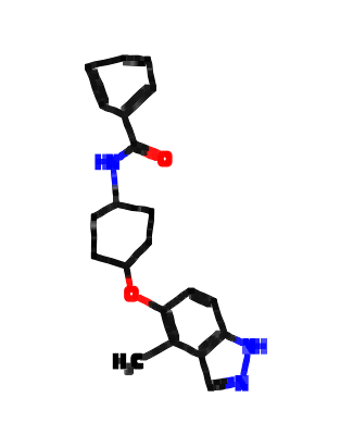 Cc1c(OC2CCC(NC(=O)c3ccccc3)CC2)ccc2[nH]ncc12